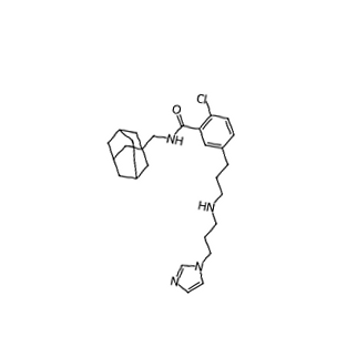 O=C(NCC12CC3CC(CC(C3)C1)C2)c1cc(CCCNCCCn2ccnc2)ccc1Cl